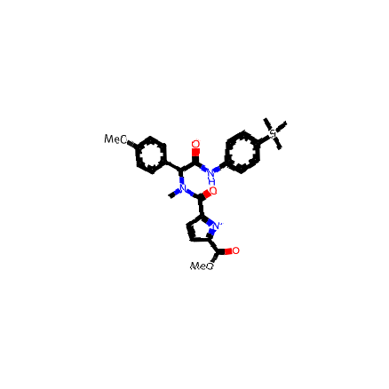 COC(=O)C1=[N+]=C(C(=O)N(C)C(C(=O)Nc2ccc([Si](C)(C)C)cc2)c2ccc(OC)cc2)C=C1